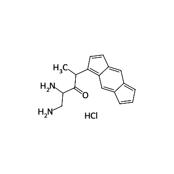 CC(C(=O)C(N)CN)C1=c2cc3c(cc2C=C1)=CC=C3.Cl